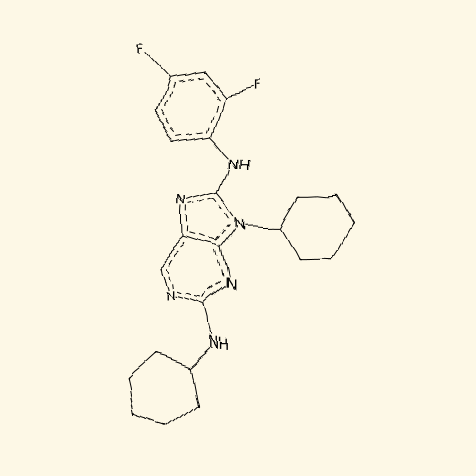 Fc1ccc(Nc2nc3cnc(NC4CCCCC4)nc3n2C2CCCCC2)c(F)c1